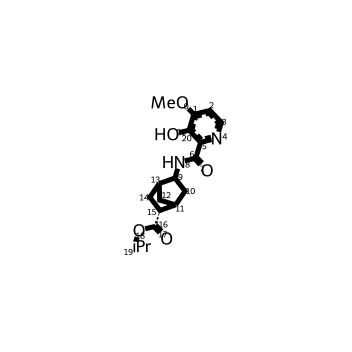 COc1ccnc(C(=O)NC2CC3CC2C[C@H]3C(=O)OC(C)C)c1O